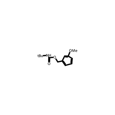 COc1cccc(COC(=O)NC(C)(C)C)c1